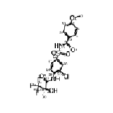 COc1ccc(C(=O)NS(=O)(=O)c2ccc(NC(=O)[C@@](C)(O)C(F)(F)F)c(Cl)c2)cc1